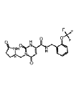 O=C1CC[C@H](Cn2c(=O)cc(C(=O)NCc3ccccc3OC(F)(F)F)[nH]c2=O)N1